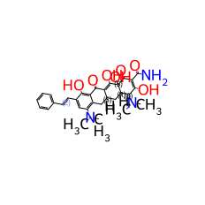 CN(C)c1cc(/C=C/c2ccccc2)c(O)c2c1C[C@@H]1C[C@@H]3[C@H](N(C)C)C(O)=C(C(N)=O)C(=O)[C@@]3(O)C(O)=C1C2=O